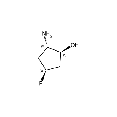 N[C@H]1C[C@H](F)C[C@@H]1O